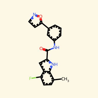 Cc1ccc(F)c2cc(C(=O)Nc3cccc(-c4ccno4)c3)[nH]c12